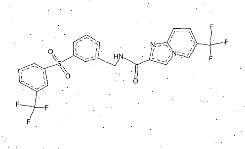 O=C(NCc1cccc(S(=O)(=O)c2cccc(C(F)(F)F)c2)c1)c1cn2cc(C(F)(F)F)ccc2n1